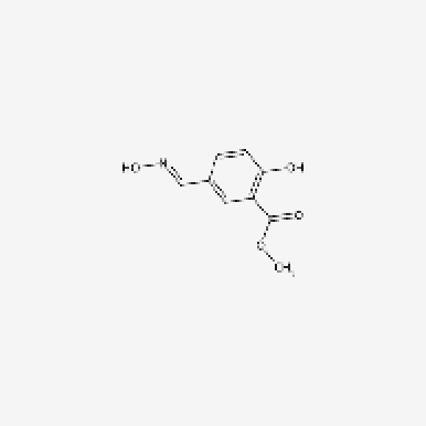 COC(=O)c1cc(C=NO)ccc1O